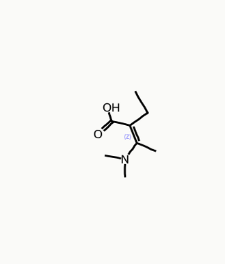 CC/C(C(=O)O)=C(\C)N(C)C